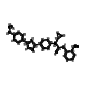 CC(C)(C)c1ccccc1OC(=O)N(c1ccc(-c2ncn(-c3ccc(OC(F)(F)F)cc3)n2)cc1)C1CC1